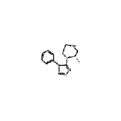 C[C@H]1CNCCN1c1nnnn1-c1ccccc1